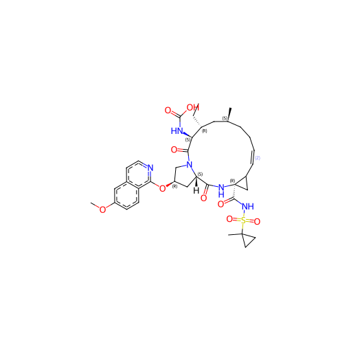 CC[C@@H]1C[C@@H](C)CC/C=C\C2C[C@@]2(C(=O)NS(=O)(=O)C2(C)CC2)NC(=O)[C@@H]2C[C@@H](Oc3nccc4cc(OC)ccc34)CN2C(=O)[C@H]1NC(=O)O